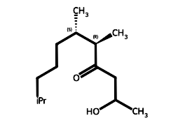 CC(C)CCC[C@H](C)[C@@H](C)C(=O)CC(C)O